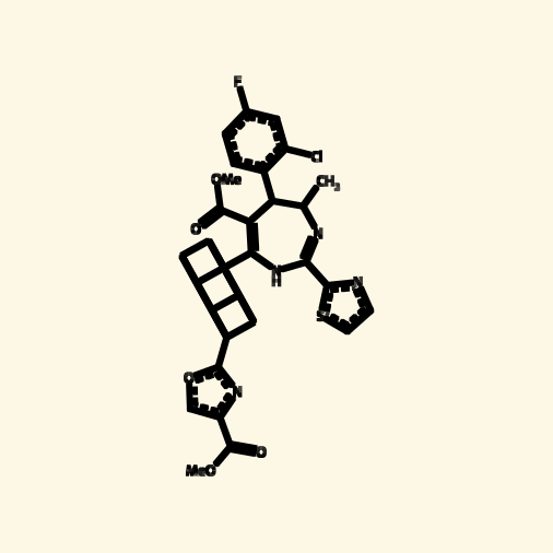 COC(=O)C1=C(C23C4C5C2C2C3C4C52c2nc(C(=O)OC)co2)NC(c2nccs2)=NC(C)C1c1ccc(F)cc1Cl